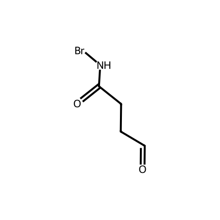 O=CCCC(=O)NBr